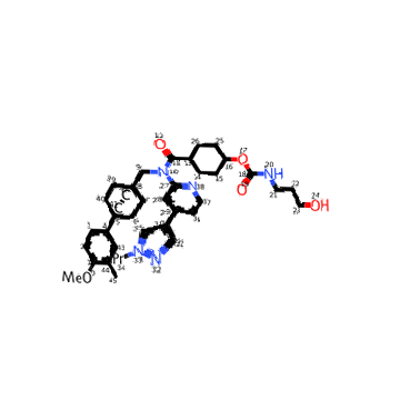 COc1ccc(C23CCC(CN(C(=O)C4CCC(OC(=O)NCCCO)CC4)c4cc(-c5cnn(C(C)C)c5)ccn4)(CC2)CC3)cc1C